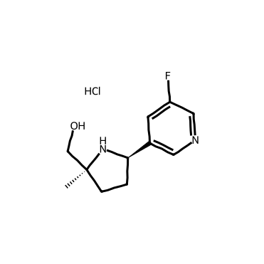 C[C@@]1(CO)CC[C@H](c2cncc(F)c2)N1.Cl